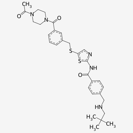 CC(=O)N1CCN(C(=O)c2cccc(CSc3cnc(NC(=O)c4ccc(CNCC(C)(C)C)cc4)s3)c2)CC1